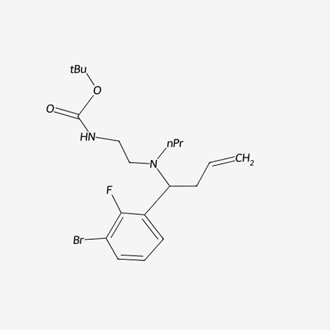 C=CCC(c1cccc(Br)c1F)N(CCC)CCNC(=O)OC(C)(C)C